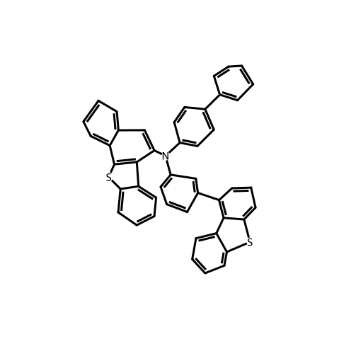 c1ccc(-c2ccc(N(c3cccc(-c4cccc5sc6ccccc6c45)c3)c3cc4ccccc4c4sc5ccccc5c34)cc2)cc1